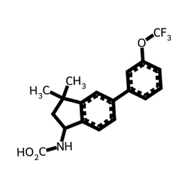 CC1(C)CC(NC(=O)O)c2ccc(-c3cccc(OC(F)(F)F)c3)cc21